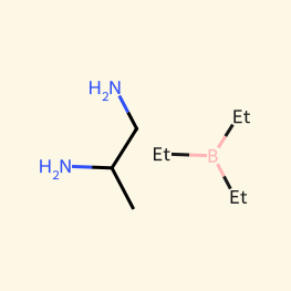 CC(N)CN.CCB(CC)CC